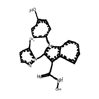 Cc1ccnn1-c1c(C(=N)NO)c2ccccc2n1-c1ccc(O)cc1